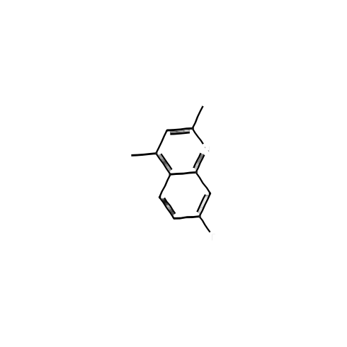 Cc1cc(C)c2ccc(F)cc2n1